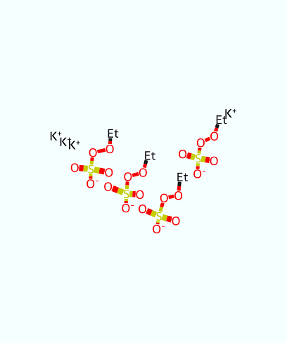 CCOOS(=O)(=O)[O-].CCOOS(=O)(=O)[O-].CCOOS(=O)(=O)[O-].CCOOS(=O)(=O)[O-].[K+].[K+].[K+].[K+]